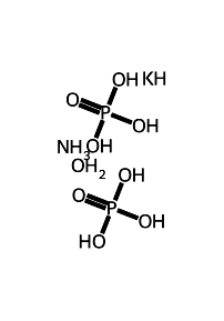 N.O.O=P(O)(O)O.O=P(O)(O)O.[KH]